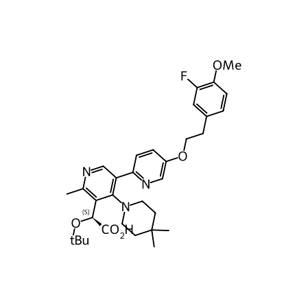 COc1ccc(CCOc2ccc(-c3cnc(C)c([C@H](OC(C)(C)C)C(=O)O)c3N3CCC(C)(C)CC3)nc2)cc1F